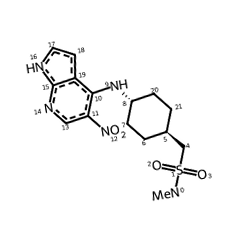 CNS(=O)(=O)C[C@H]1CC[C@H](Nc2c([N+](=O)[O-])cnc3[nH]ccc23)CC1